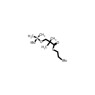 CC(C)(C)CCSC(=O)C(C)(C)CO[Si](C)(C)C(C)(C)C